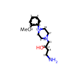 COc1ccccc1N1CCN(C[C@H](O)CCN)CC1